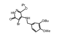 COc1ccc(CNc2c(OC(C)C)n[nH]c(=O)c2Br)cc1OCC(C)C